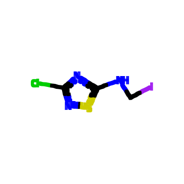 Clc1nsc(NCI)n1